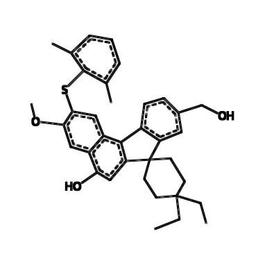 CCC1(CC)CCC2(CC1)c1cc(CO)ccc1-c1c2cc(O)c2cc(OC)c(Sc3c(C)cccc3C)cc12